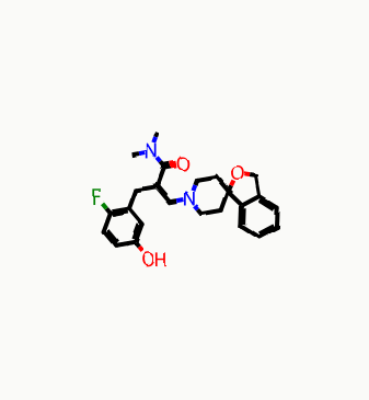 CN(C)C(=O)C(Cc1cc(O)ccc1F)CN1CCC2(CC1)OCc1ccccc12